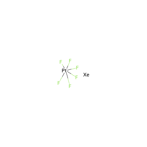 [F][Pt]([F])([F])([F])([F])[F].[Xe]